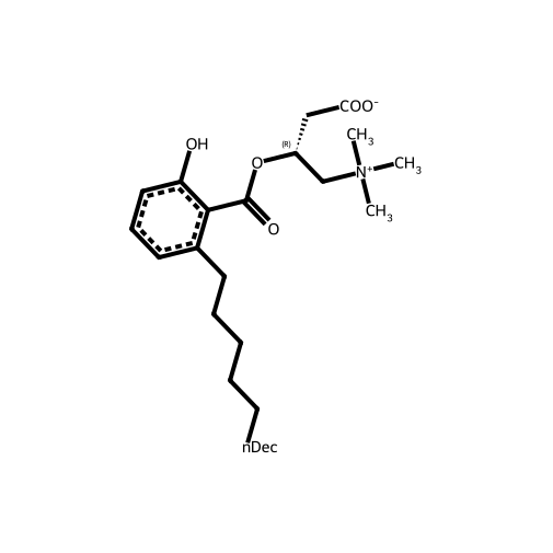 CCCCCCCCCCCCCCCc1cccc(O)c1C(=O)O[C@H](CC(=O)[O-])C[N+](C)(C)C